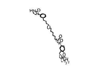 CC1(C)OCc2cc([C@@H]3CN(CCCCCCOCCCCc4cccc(N5CCNC5=O)c4)C(=O)O3)ccc2O1